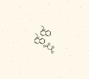 CC[n+]1cccc2ccccc21.CC[n+]1cccc2ccccc21.O=C([O-])CC(=O)[O-]